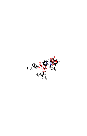 CCC(C)N[C@@](Cc1ccc(OC(=O)OCCC(C)C)c(OC(=O)OCCC(C)C)c1)(OC(=O)C1CCCCC1)C(=O)O